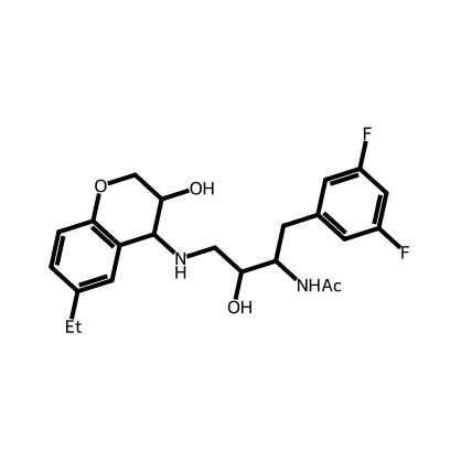 CCc1ccc2c(c1)C(NCC(O)C(Cc1cc(F)cc(F)c1)NC(C)=O)C(O)CO2